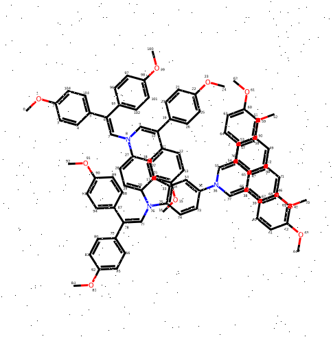 COc1ccc(C(=CN(C=C(c2ccc(OC)cc2)c2ccc(OC)cc2)c2ccc3c(c2)c2cc(N(C=C(c4ccc(OC)cc4)c4ccc(OC)cc4)C=C(c4ccc(OC)cc4)c4ccc(OC)cc4)ccc2n3C=C(c2ccc(OC)cc2)c2ccc(OC)cc2)c2ccc(OC)cc2)cc1